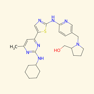 Cc1cc(-c2cnc(Nc3ccc(CN4CCCC4CO)cn3)s2)nc(NC2CCCCC2)n1